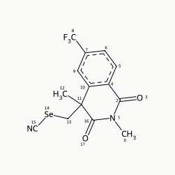 CN1C(=O)c2ccc(C(F)(F)F)cc2C(C)(C[Se]C#N)C1=O